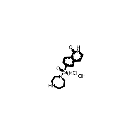 Cl.Cl.O=c1[nH]ccc2cc(S(=O)(=O)N3CCCNCC3)ccc12